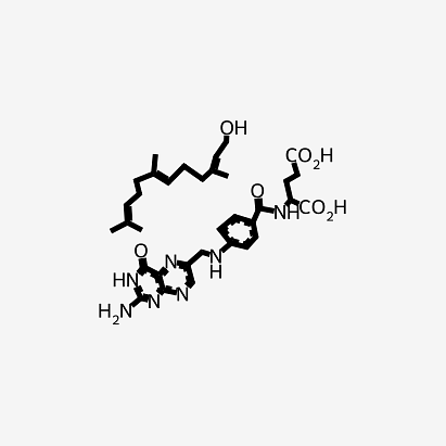 CC(C)=CCCC(C)=CCCC(C)=CCO.Nc1nc2ncc(CNc3ccc(C(=O)NC(CCC(=O)O)C(=O)O)cc3)nc2c(=O)[nH]1